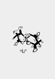 CC1(F)C(=O)O[B-]2(OC1=O)OC(=O)C(C)(F)C(=O)O2.[Li+]